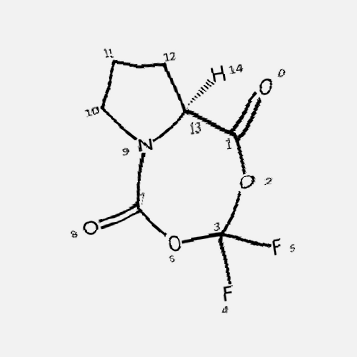 O=C1OC(F)(F)OC(=O)N2CCC[C@@H]12